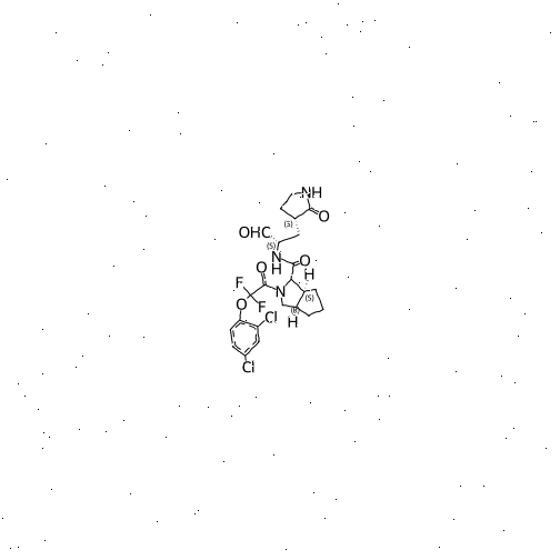 O=C[C@H](C[C@@H]1CCNC1=O)NC(=O)C1[C@H]2CCC[C@H]2CN1C(=O)C(F)(F)Oc1ccc(Cl)cc1Cl